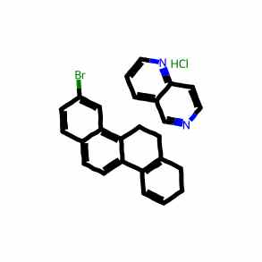 Brc1ccc2ccc3c(c2c1)CCC1=C3C=CCC1.Cl.c1cnc2ccncc2c1